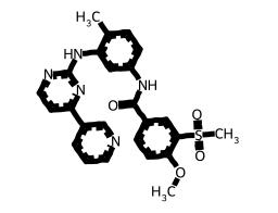 COc1ccc(C(=O)Nc2ccc(C)c(Nc3nccc(-c4cccnc4)n3)c2)cc1S(C)(=O)=O